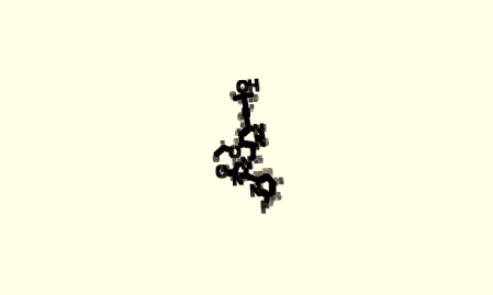 CCOc1cc(C#CC(C)(C)O)nnc1CN1CC(=O)N=C1c1cccc(F)n1